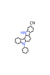 N#Cc1ccc2c(c1)[nH]c1c2ccc2c1c1ccccc1n2-c1ccccc1